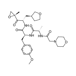 COc1ccc(C[C@H](NC(=O)[C@H](C)NC(=O)CN2CCOCC2)C(=O)N[C@@H](C[C@@H]2CCOC2)C(=O)[C@@]2(C)CO2)cc1